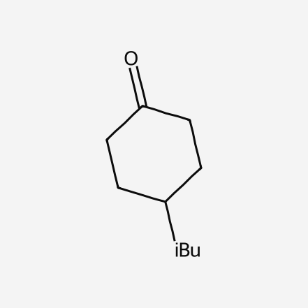 [CH2]CC(C)C1CCC(=O)CC1